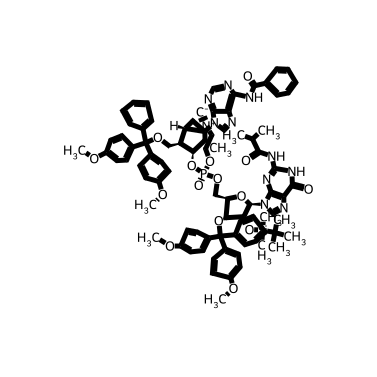 [C-]#[N+]CCOP(=O)(OC[C@H]1O[C@@H](n2cnc3c(=O)[nH]c(NC(=O)C(C)C)nc32)[C@H](O[Si](C)(C)C(C)(C)C)[C@@H]1OC(c1ccccc1)(c1ccc(OC)cc1)c1ccc(OC)cc1)O[C@@H]1[C@@H](COC(c2ccccc2)(c2ccc(OC)cc2)c2ccc(OC)cc2)[C@@H]2CC2(n2cnc3c(NC(=O)c4ccccc4)ncnc32)[C@@H]1C